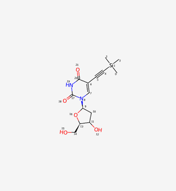 C[Si](C)(C)C#Cc1cn([C@H]2CC(O)[C@@H](CO)O2)c(=O)[nH]c1=O